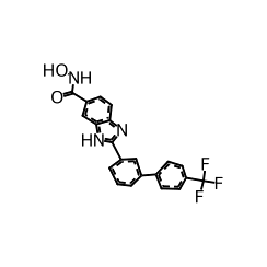 O=C(NO)c1ccc2nc(-c3cccc(-c4ccc(C(F)(F)F)cc4)c3)[nH]c2c1